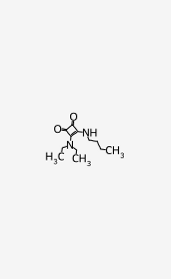 CCCCNc1c(N(CC)CC)c(=O)c1=O